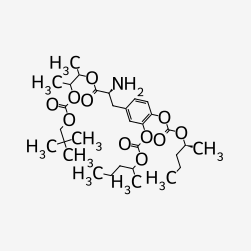 CCCC(C)OC(=O)Oc1cc(C[C@H](N)C(=O)OC(C)C(C)OC(=O)OCC(C)(C)C)ccc1OC(=O)O[C@@H](C)CCC